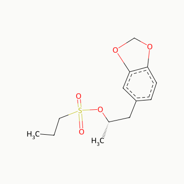 CCCS(=O)(=O)O[C@@H](C)Cc1ccc2c(c1)OCO2